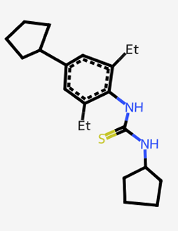 CCc1cc(C2CCCC2)cc(CC)c1NC(=S)NC1CCCC1